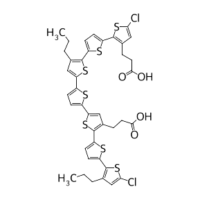 CCCc1cc(Cl)sc1-c1ccc(-c2sc(-c3ccc(-c4cc(CCC)c(-c5ccc(-c6sc(Cl)cc6CCC(=O)O)s5)s4)s3)cc2CCC(=O)O)s1